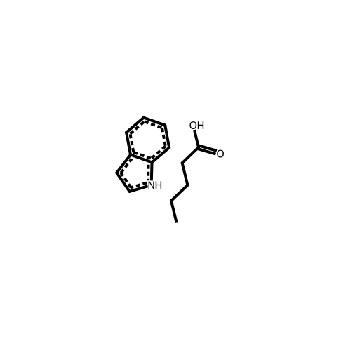 CCCCC(=O)O.c1ccc2[nH]ccc2c1